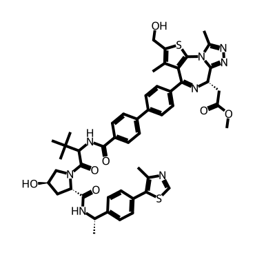 COC(=O)C[C@@H]1N=C(c2ccc(-c3ccc(C(=O)NC(C(=O)N4C[C@H](O)C[C@H]4C(=O)N[C@@H](C)c4ccc(-c5scnc5C)cc4)C(C)(C)C)cc3)cc2)c2c(sc(CO)c2C)-n2c(C)nnc21